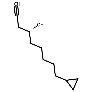 C#CC[C@H](O)CCCCCC1CC1